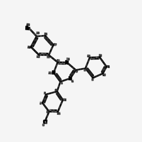 Clc1ccc(-c2nc(-c3ccccc3)nc(-c3ccc(Br)cc3)n2)cc1